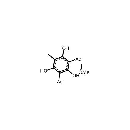 CC(=O)c1c(O)c(C)c(O)c(C(C)=O)c1O.COC